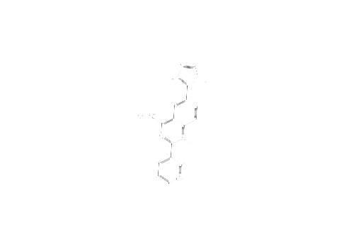 CNc1nc(-c2cccnc2)nc2ccc(-c3cncs3)cc12